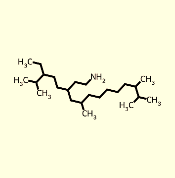 CCC(CCC(CCN)CC(C)CCCCCC(C)C(C)C)C(C)C